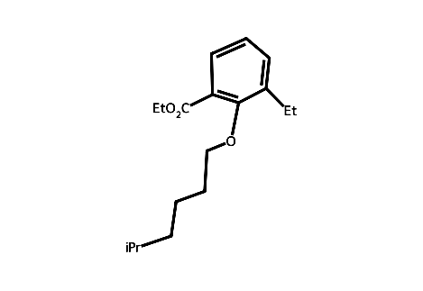 CCOC(=O)c1cccc(CC)c1OCCCCC(C)C